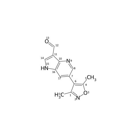 Cc1noc(C)c1-c1cnc2c(C=O)c[nH]c2c1